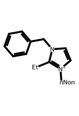 CCCCCCCCC[n+]1ccn(Cc2ccccc2)c1CC